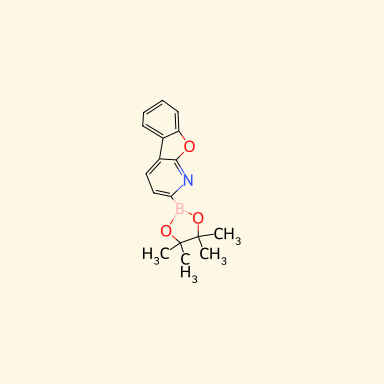 CC1(C)OB(c2ccc3c(n2)oc2ccccc23)OC1(C)C